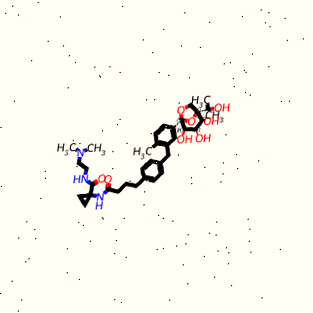 Cc1ccc([C@]23OC[C@](C(C)(C)O)(O2)[C@@H](O)[C@H](O)[C@H]3O)cc1Cc1ccc(CCCC(=O)NC2(C(=O)NCCN(C)C)CC2)cc1